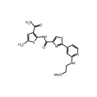 COCCNc1cc(-c2nc(C(=O)Nc3sc(C)cc3C(N)=O)co2)ccn1